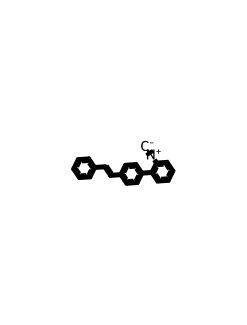 [C-]#[N+]c1ccccc1-c1ccc(C=Cc2ccccc2)cc1